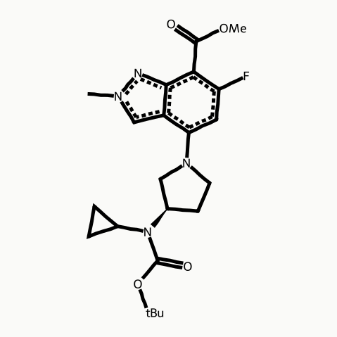 COC(=O)c1c(F)cc(N2CC[C@@H](N(C(=O)OC(C)(C)C)C3CC3)C2)c2cn(C)nc12